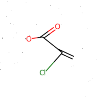 C=C(Cl)C([O])=O